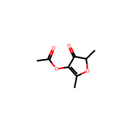 CC(=O)OC1=C(C)OC(C)C1=O